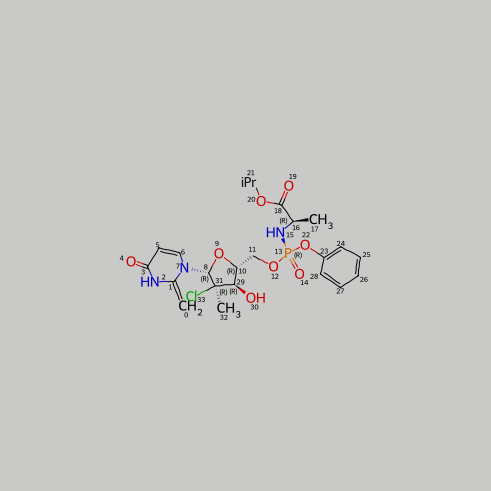 C=C1NC(=O)C=CN1[C@@H]1O[C@H](CO[P@](=O)(N[C@H](C)C(=O)OC(C)C)Oc2ccccc2)[C@@H](O)[C@@]1(C)Cl